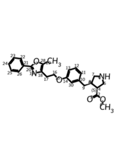 COC(=O)[C@@H]1CNC[C@@H]1Cc1cccc(OCCc2nc(-c3ccccc3)oc2C)c1